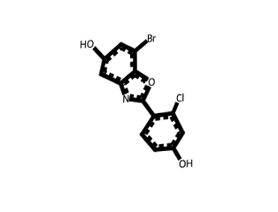 Oc1ccc(-c2nc3cc(O)cc(Br)c3o2)c(Cl)c1